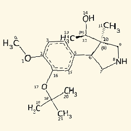 COc1ccc(C2CNC[C@]2(C)[C@@H](C)O)cc1OC(C)(C)C